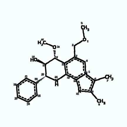 COCc1cn2c(C)c(C)nc2c2c1[C@@H](OC)[C@H](O)[C@@H](c1ccccc1)N2